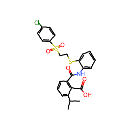 CC(C)c1cccc(C(=O)Nc2ccccc2SCCS(=O)(=O)c2ccc(Cl)cc2)c1C(=O)O